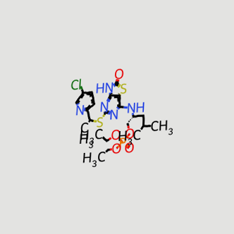 CCOP(=O)(OCC)OC[C@@H](CC(C)C)Nc1nc(S[C@@H](C)c2ccc(Cl)cn2)nc2[nH]c(=O)sc12